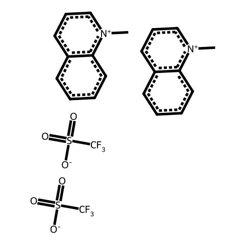 C[n+]1cccc2ccccc21.C[n+]1cccc2ccccc21.O=S(=O)([O-])C(F)(F)F.O=S(=O)([O-])C(F)(F)F